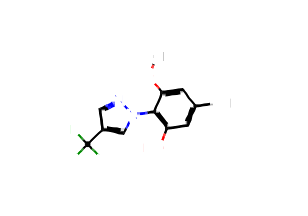 COc1cc(C)cc(O)c1-n1cc(C(F)(F)F)cn1